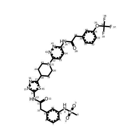 CS(=O)(=O)Nc1cccc(CC(=O)Nc2nnc(C3CCN(c4ccc(NC(=O)Cc5cccc(OC(F)(F)F)c5)nn4)CC3)s2)c1